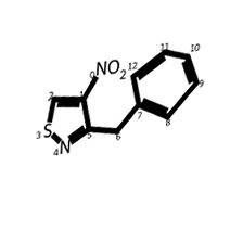 O=[N+]([O-])c1[c]snc1Cc1ccccc1